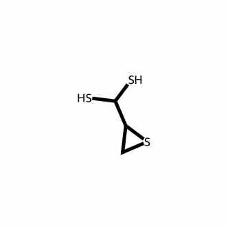 SC(S)C1CS1